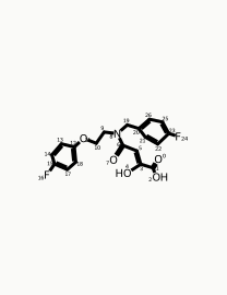 O=C(O)/C(O)=C/C(=O)N(CCOc1ccc(F)cc1)Cc1ccc(F)cc1